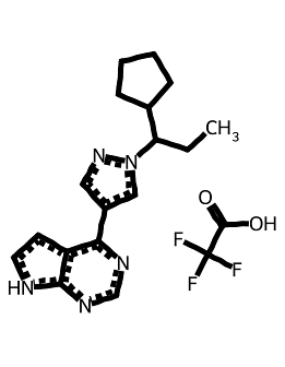 CCC(C1CCCC1)n1cc(-c2ncnc3[nH]ccc23)cn1.O=C(O)C(F)(F)F